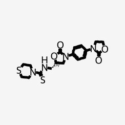 O=C1OCCN1c1ccc(N2C[C@H](CNC(=S)N3CCSCC3)OC2=O)cc1